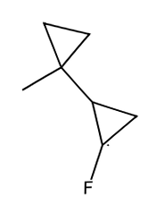 CC1(C2C[C]2F)CC1